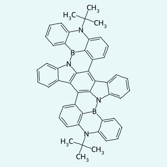 CC(C)(C)N1c2ccccc2B2c3c(cccc31)-c1c3c4ccccc4n4c3c(c3c5ccccc5n2c13)-c1cccc2c1B4c1ccccc1N2C(C)(C)C